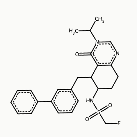 CC(C)n1cnc2c(c1=O)C(Cc1cccc(-c3ccccc3)c1)C(NS(=O)(=O)CF)CC2